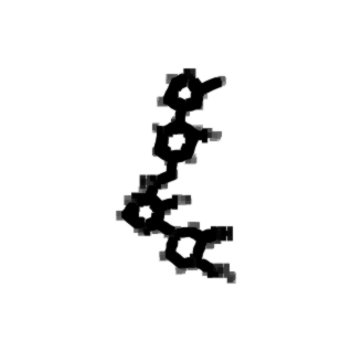 Cc1cc(-c2ncc(CNc3ncnc(N4CCN(N)C(=N)C4)c3F)cc2F)ccn1